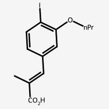 CCCOc1cc(/C=C(\C)C(=O)O)ccc1I